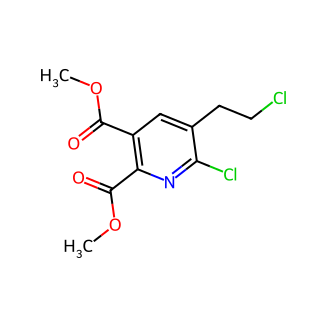 COC(=O)c1cc(CCCl)c(Cl)nc1C(=O)OC